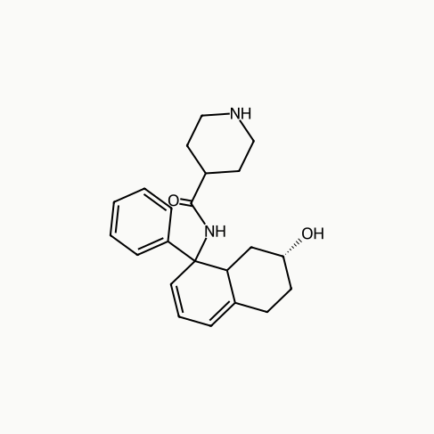 O=C(NC1(c2ccccc2)C=CC=C2CC[C@@H](O)CC21)C1CCNCC1